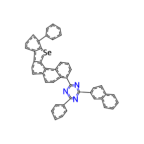 c1ccc(-c2nc(-c3ccc4ccccc4c3)nc(-c3cccc4c3ccc3ccc5c6cccc(-c7ccccc7)c6[se]c5c34)n2)cc1